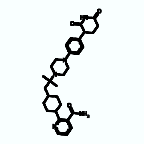 CC(C)(CC1CCC(c2ncccc2C(N)=O)CC1)N1CCN(c2ccc(C3CCC(=O)NC3=O)cc2)CC1